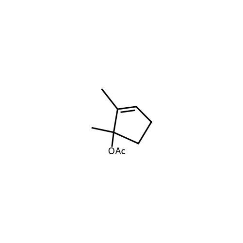 CC(=O)OC1(C)CCC=C1C